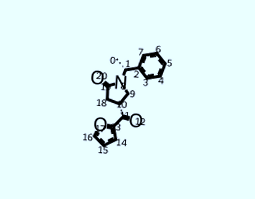 C[C@H](c1ccccc1)N1C[C@H](C(=O)c2ccco2)CC1=O